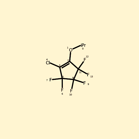 CC(C)OC1=C(Cl)C(F)(F)C(F)(F)C1(F)F